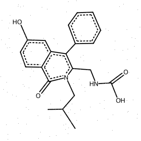 CC(C)Cn1c(CNC(=O)O)c(-c2ccccc2)c2cc(O)ccc2c1=O